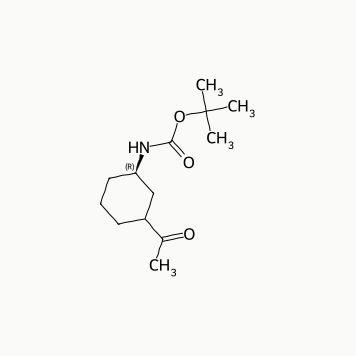 CC(=O)C1CCC[C@@H](NC(=O)OC(C)(C)C)C1